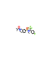 CCN([C@H](c1ccc(F)cc1)C(F)(F)F)[S+]([O-])c1ccc2c(c1)CN(C(=O)C(C)C)CC2